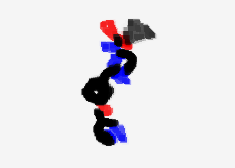 CC(C)(C)OC(=O)Nc1ccnc(-c2cccc(OCc3cccnc3)c2)n1